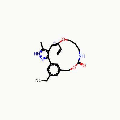 C=C/C1=C\c2c(n[nH]c2C)-c2cc(CC#N)cc(c2)COC(=O)NCCCO1